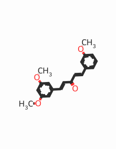 COc1cccc(/C=C/C(=O)/C=C/c2cc(OC)cc(OC)c2)c1